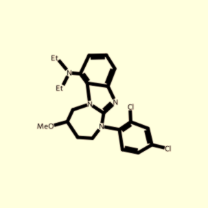 CCN(CC)c1cccc2nc3n(c12)CC(OC)CCN3c1ccc(Cl)cc1Cl